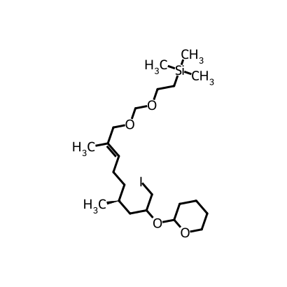 C/C(=C\CC[C@H](C)CC(CI)OC1CCCCO1)COCOCC[Si](C)(C)C